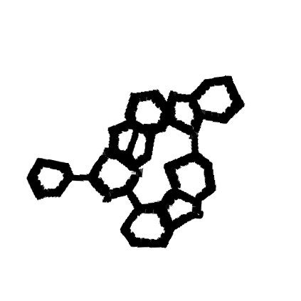 c1ccc(-c2nc(-c3ccccc3)nc(-c3cccc4oc5ccc(-n6c(-c7ccccc7)nc7ccccc76)cc5c34)n2)cc1